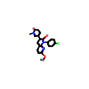 CCOc1ccc2cc(-c3ccc(=O)n(C)c3)c(=O)n(-c3ccc(Cl)cc3)c2n1